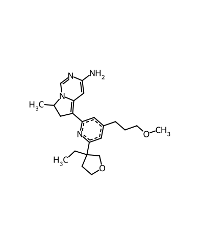 CCC1(c2cc(CCCOC)cc(C3=C4C=C(N)N=CN4C(C)C3)n2)CCOC1